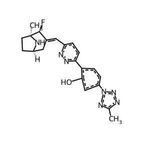 Cc1nnn(-c2ccc(-c3ccc(/C=C4\C[C@H]5CC[C@](C)(N5)[C@H]4F)nn3)c(O)c2)n1